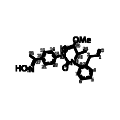 C=CCc1ccccc1N(C(=O)Nc1ccc(C(C)=NO)cc1)C(C)C(=O)OC